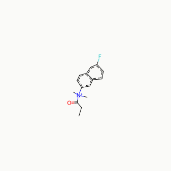 CCC(=O)[N+](C)(C)c1ccc2cc(F)ccc2c1